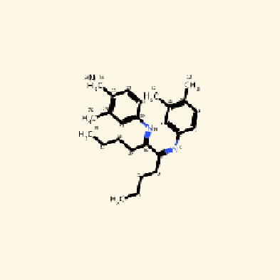 CCCCC(=Nc1ccc(C)c(C)c1)C(CCCC)=Nc1ccc(C)c(C)c1.[Ni]